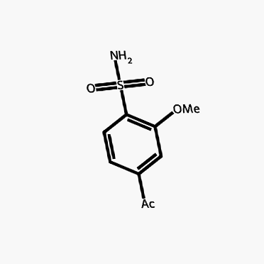 COc1cc(C(C)=O)ccc1S(N)(=O)=O